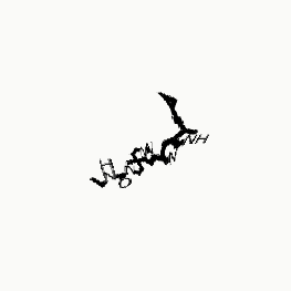 CCNC(=O)N1CCC2(CCn3nc(-c4cnc5[nH]cc(C#CC6CC6)c5c4)cc32)C1